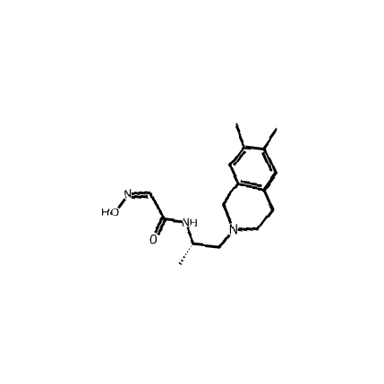 Cc1cc2c(cc1C)CN(C[C@H](C)NC(=O)/C=N\O)CC2